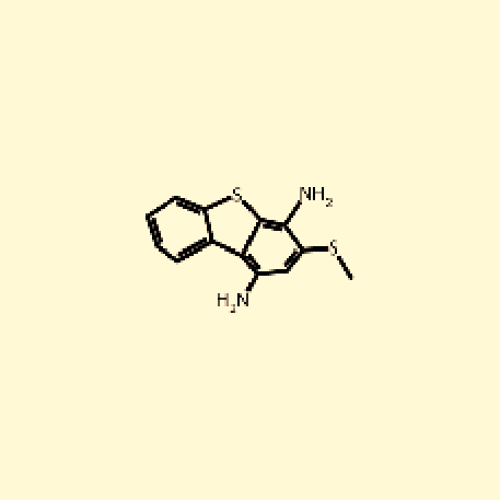 CSc1cc(N)c2c(sc3ccccc32)c1N